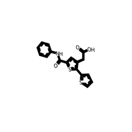 O=C(O)Cc1cc(C(=O)Nc2ccccc2)sc1-c1cccs1